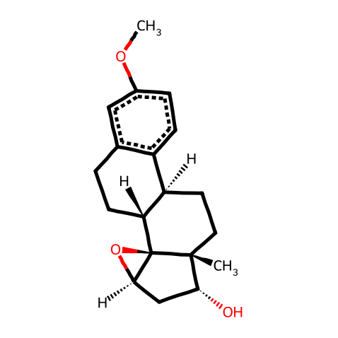 COc1ccc2c(c1)CC[C@@H]1[C@@H]2CC[C@]2(C)[C@H](O)C[C@H]3O[C@]132